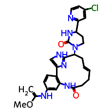 C=C(Nc1ccc2c(c1)NC(=O)CC/C=C/C[C@H](N1CCC(c3cc(Cl)ccn3)NC1=O)c1nc-2c[nH]1)OC